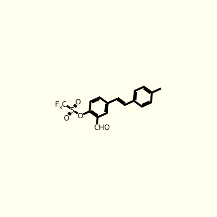 Cc1ccc(/C=C/c2ccc(OS(=O)(=O)C(F)(F)F)c(C=O)c2)cc1